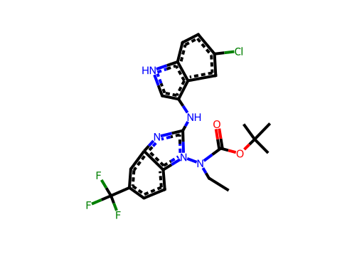 CCN(C(=O)OC(C)(C)C)n1c(Nc2c[nH]c3ccc(Cl)cc23)nc2cc(C(F)(F)F)ccc21